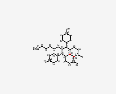 CN1CCC(C(C2CCN(C)CC2)C(CCCCCC(C)(C)C)N(C2CCN(C)CC2)C2CCN(C)CC2)CC1